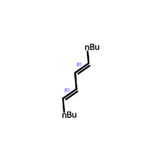 [CH2]CCC/C=C/C=C/CCCC